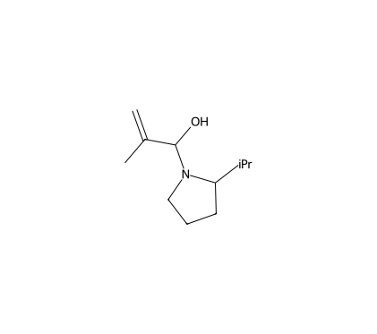 C=C(C)C(O)N1CCCC1C(C)C